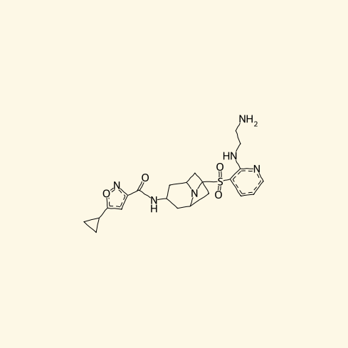 NCCNc1ncccc1S(=O)(=O)C12CC3CC(NC(=O)c4cc(C5CC5)on4)CC(C1)N32